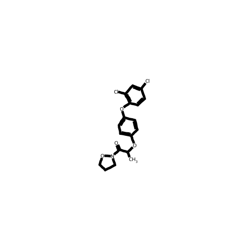 CC(Oc1ccc(Oc2ccc(Cl)cc2Cl)cc1)C(=O)N1CCCO1